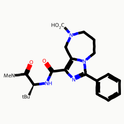 CNC(=O)[C@@H](NC(=O)c1nc(-c2ccccc2)n2c1CN(C(=O)O)CCC2)C(C)(C)C